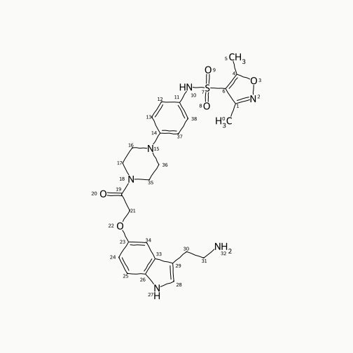 Cc1noc(C)c1S(=O)(=O)Nc1ccc(N2CCN(C(=O)COc3ccc4[nH]cc(CCN)c4c3)CC2)cc1